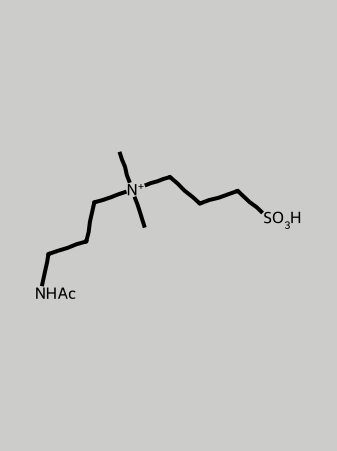 CC(=O)NCCC[N+](C)(C)CCCS(=O)(=O)O